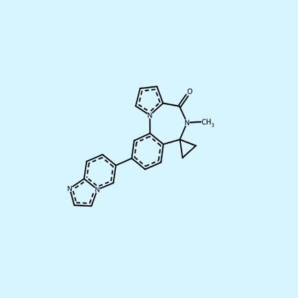 CN1C(=O)c2cccn2-c2cc(-c3ccc4nccn4c3)ccc2C12CC2